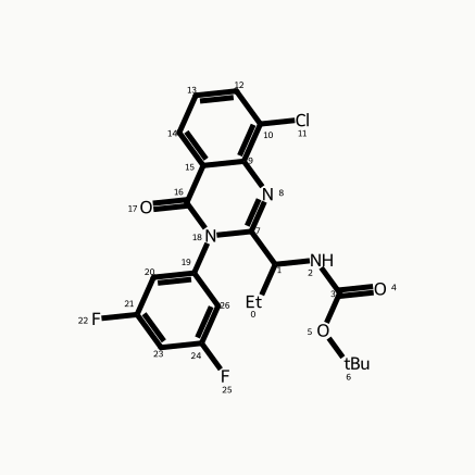 CCC(NC(=O)OC(C)(C)C)c1nc2c(Cl)cccc2c(=O)n1-c1cc(F)cc(F)c1